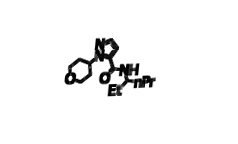 CCCC(CC)NC(=O)c1ccnn1C1CCOCC1